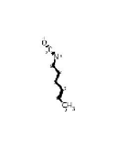 CC=CCCCN=C=O